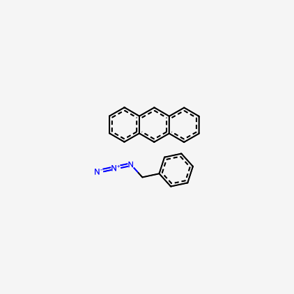 [N-]=[N+]=NCc1ccccc1.c1ccc2cc3ccccc3cc2c1